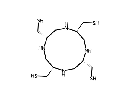 SC[C@@H]1CN[C@H](CS)CN[C@H](CS)CN[C@H](CS)CN1